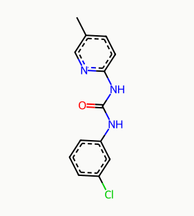 Cc1ccc(NC(=O)Nc2cccc(Cl)c2)nc1